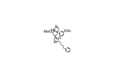 COC1C[C@@H](N(CC(C)C)C(=O)CCCCCc2ccccc2)C[C@]2(c3cccc(OC(C)=O)c3)CCN(C)C[C@@H]12